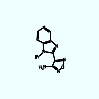 CC(C)n1c(-c2nonc2N)nc2cnccc21